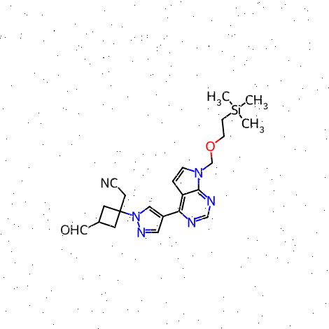 C[Si](C)(C)CCOCn1ccc2c(-c3cnn(C4(CC#N)CC(C=O)C4)c3)ncnc21